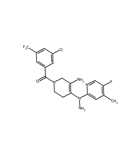 Cc1cc(N(N)C2=C(N)CN(C(=O)c3cc(Cl)cc(C(F)(F)F)c3)CC2)ncc1F